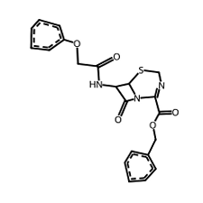 O=C(COc1ccccc1)NC1C(=O)N2C(C(=O)OCc3ccccc3)=NCSC12